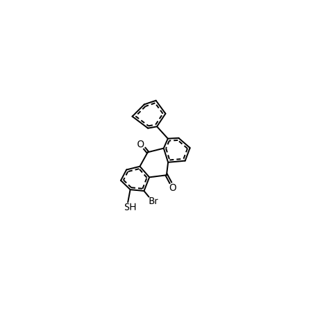 O=C1c2ccc(S)c(Br)c2C(=O)c2cccc(-c3ccccc3)c21